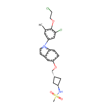 CS(=O)(=O)N[C@H]1C[C@H](COc2ccc3c(ccn3-c3cc(Cl)c(OCCCl)c(C#N)c3)c2)C1